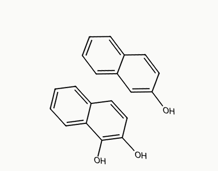 Oc1ccc2ccccc2c1.Oc1ccc2ccccc2c1O